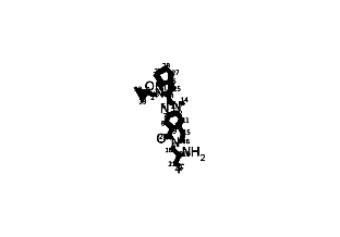 COC1(Cn2c(-c3nc4cc5c(cc4n3C)CCN(C[C@H](N)CF)C5=O)cc3ccccc32)CC1